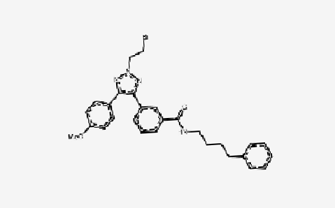 COc1ccc(-c2nn(CCBr)nc2-c2cccc(C(=O)NCCCCc3ccccc3)c2)cc1